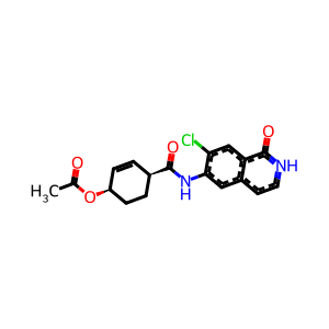 CC(=O)O[C@H]1C=C[C@@H](C(=O)Nc2cc3cc[nH]c(=O)c3cc2Cl)CC1